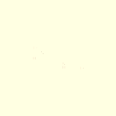 CCC=CNCCCN(C)C